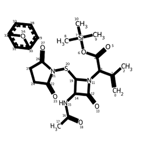 C=C(C)C(C(=O)O[Si](C)(C)C)N1C(=O)C(NC(C)=O)C1SN1C(=O)CCC1=O.c1cc2cc(c1)O2